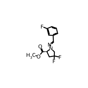 COC(=O)[C@@H]1CC(F)(F)CN1N=Cc1cccc(F)c1